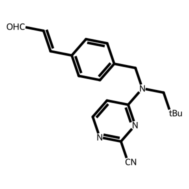 CC(C)(C)CN(Cc1ccc(C=CC=O)cc1)c1ccnc(C#N)n1